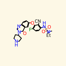 CCN(C)S(=O)(=O)Nc1ccc(F)c(Oc2ccc3ncn(C4CCNCC4)c(=O)c3c2)c1C#N